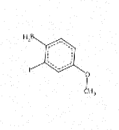 Bc1ccc(OC)cc1I